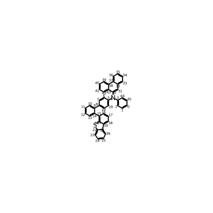 c1ccc(N(c2ccc(-c3ccccc3-c3cccc4c3sc3ccccc34)cc2)c2cc3ccccc3c3ccccc23)cc1